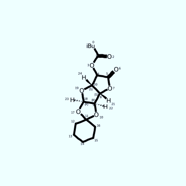 CCC(C)C(=O)OC1C(=O)O[C@@H]2[C@H]3OC4(CCCCC4)O[C@H]3O[C@H]12